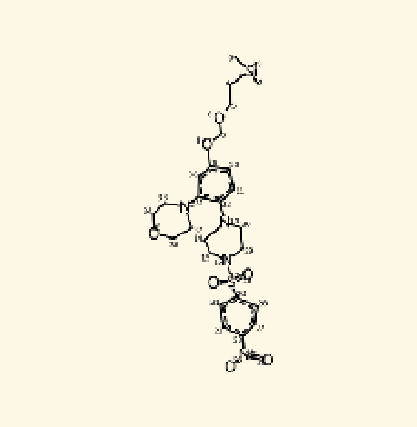 C[Si](C)(C)CCOCOc1ccc(N2CCN(S(=O)(=O)c3ccc([N+](=O)[O-])cc3)CC2)c(N2CCOCC2)c1